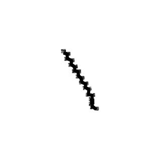 CCC#CCCCCCCCCCCCCCCCC